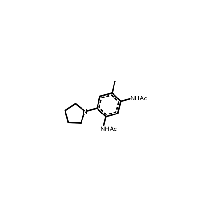 CC(=O)Nc1cc(NC(C)=O)c(N2CCCC2)cc1C